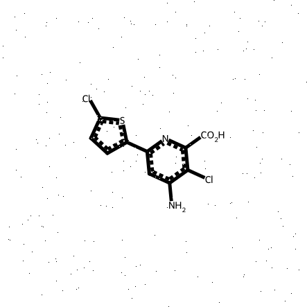 Nc1cc(-c2ccc(Cl)s2)nc(C(=O)O)c1Cl